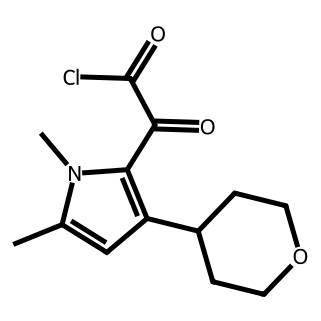 Cc1cc(C2CCOCC2)c(C(=O)C(=O)Cl)n1C